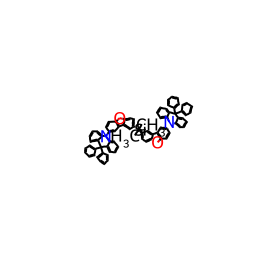 C[Si](C)(c1ccc2oc3ccc(N4c5ccccc5C(c5ccccc5)(c5ccccc5)c5ccccc54)cc3c2c1)c1ccc2oc3ccc(N4c5ccccc5C(c5ccccc5)(c5ccccc5)c5ccccc54)cc3c2c1